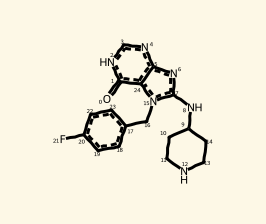 O=c1[nH]cnc2nc(NC3CCNCC3)n(Cc3ccc(F)cc3)c12